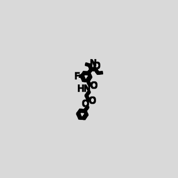 CCc1onc(C)c1-c1cc(F)cc(C(=O)NCCC(=O)OCc2ccccc2)c1